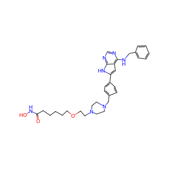 O=C(CCCCCOCCN1CCN(Cc2ccc(-c3cc4c(NCc5ccccc5)ncnc4[nH]3)cc2)CC1)NO